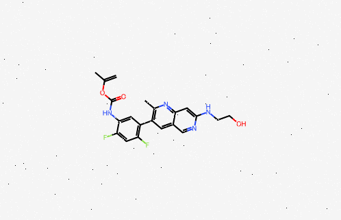 C=C(C)OC(=O)Nc1cc(-c2cc3cnc(NCCO)cc3nc2C)c(F)cc1F